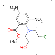 CC(C)(C)OC(=O)c1cc([N+](=O)[O-])cc([N+](=O)[O-])c1N(CCO)CCCl